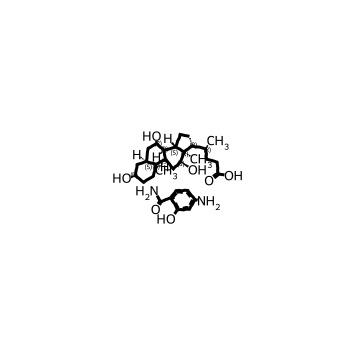 C[C@H](CCC(=O)O)[C@H]1CC[C@H]2[C@@H]3[C@H](O)C[C@@H]4C[C@H](O)CC[C@]4(C)[C@H]3C[C@H](O)[C@]12C.NC(=O)c1ccc(N)cc1O